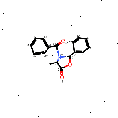 C[C@@H]1C(=O)O[C@H](c2ccccc2)N1C(=O)c1ccccc1